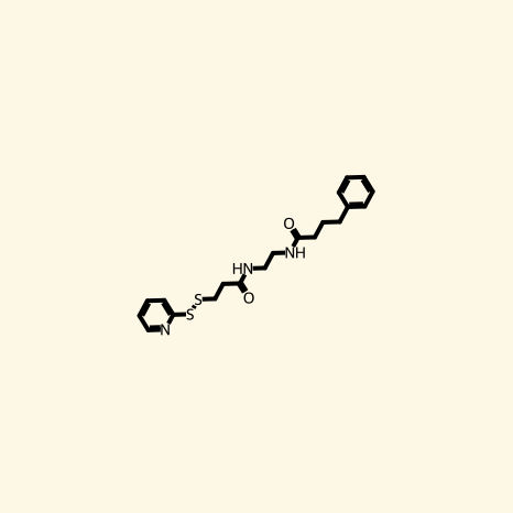 O=C(CCCc1ccccc1)NCCNC(=O)CCSSc1ccccn1